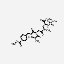 CCCCS(=O)(=O)N[C@@H](CN(C)C(=O)CN(C(=O)CCC1CCN(C(=O)OC(C)(C)C)CC1)C(=O)[C@H](C)N)C(=O)OC